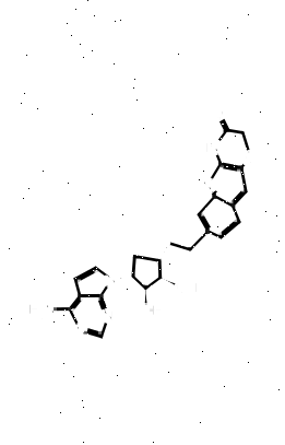 Nc1ncnc2c1ccn2[C@@H]1C[C@H](CCc2ccc3cc4c(nc3c2)NC(=O)CO4)[C@@H](O)[C@H]1O